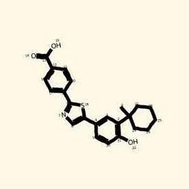 CC1(c2cc(-c3cnc(-c4ccc(C(=O)O)cc4)s3)ccc2O)CCCCC1